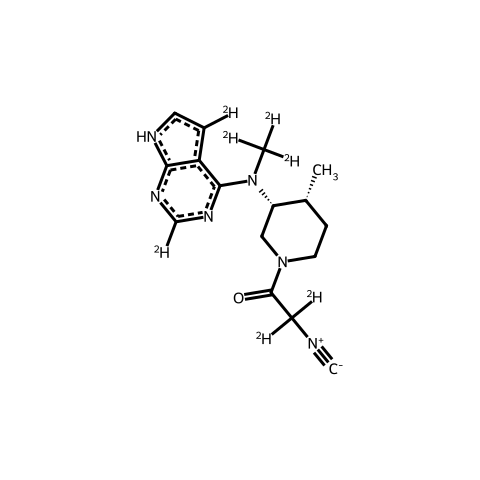 [2H]c1nc(N([C@H]2CN(C(=O)C([2H])([2H])[N+]#[C-])CC[C@H]2C)C([2H])([2H])[2H])c2c([2H])c[nH]c2n1